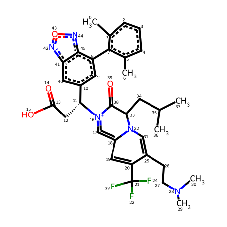 Cc1cccc(C)c1-c1cc([C@@H](CC(=O)O)[N+]2=C=C3C=C(C(F)(F)F)C(CCN(C)C)=CN3C(CC(C)C)C2=O)cc2nonc12